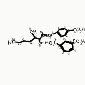 O=C(O)c1ccc(C(=O)O)cc1.O=C(O)c1cccc(C(=O)O)c1.OCCCC(O)C(O)CO